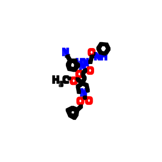 CCOC(=O)C1(CCC(=O)N(NCC(=O)NC2CCCCC2)c2cccc(C#N)c2)CCN(C(=O)OCc2ccccc2)CC1